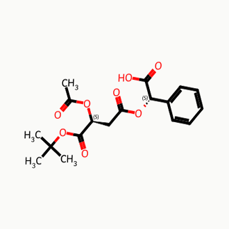 CC(=O)O[C@@H](CC(=O)O[C@H](C(=O)O)c1ccccc1)C(=O)OC(C)(C)C